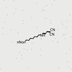 CCCCCCCCCCCCCCCCNC=CC=C(C#N)C#N